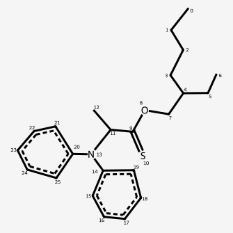 CCCCC(CC)COC(=S)C(C)N(c1ccccc1)c1ccccc1